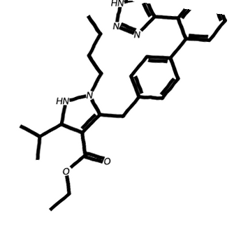 CCCCN1NC(C(C)C)C(C(=O)OCC)=C1Cc1ccc(-c2ccccc2-c2nn[nH]n2)cc1